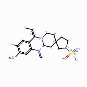 C=Nc1cc(OC)c(F)cc1/C(=C\C)N1CCC2(CC1)CCN([S@@](C)(=N)=O)C2